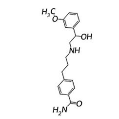 COc1cccc(C(O)CNCCCc2ccc(C(N)=O)cc2)c1